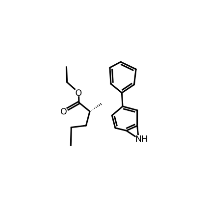 CCC[C@@H](C)C(=O)OCC.c1ccc(-c2ccc3c(c2)N3)cc1